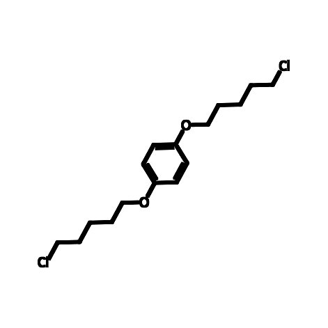 ClCCCCCOc1ccc(OCCCCCCl)cc1